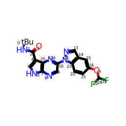 CC(C)(C)NC(=O)c1c[nH]c2ncc(-n3ncc4cc(OC(F)F)ccc43)nc12